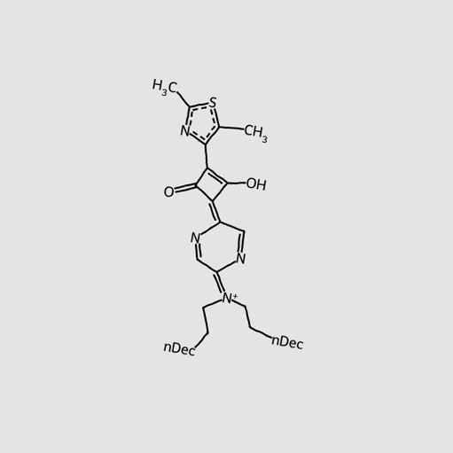 CCCCCCCCCCCC[N+](CCCCCCCCCCCC)=C1C=N/C(=C2\C(=O)C(c3nc(C)sc3C)=C2O)C=N1